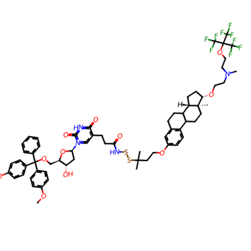 COc1ccc(C(OC[C@H]2O[C@@H](n3cc(CCC(=O)NSSC(C)(C)CCOc4ccc5c(c4)CCC4C5CC[C@]5(C)[C@@H](OCCN(C)CCOC(C(F)(F)F)(C(F)(F)F)C(F)(F)F)CC[C@@H]45)c(=O)[nH]c3=O)C[C@@H]2O)(c2ccccc2)c2ccc(OC)cc2)cc1